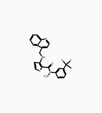 NN(C(=O)c1sccc1NCc1ccnc2ccccc12)c1cccc(C(F)(F)F)c1